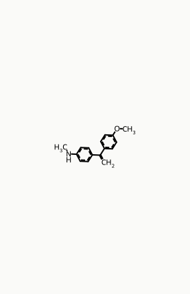 C=C(c1ccc(NC)cc1)c1ccc(OC)cc1